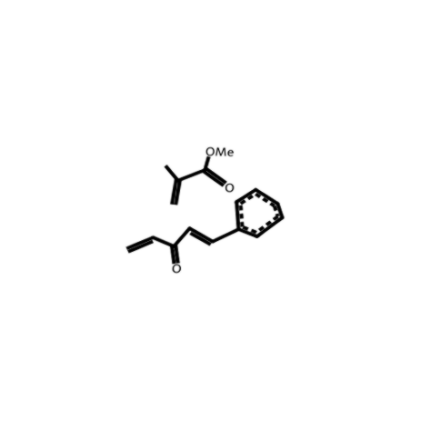 C=C(C)C(=O)OC.C=CC(=O)C=Cc1ccccc1